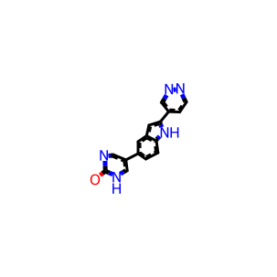 O=c1ncc(-c2ccc3[nH]c(-c4ccnnc4)cc3c2)c[nH]1